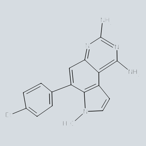 CCc1ccc(-c2cc3nc(N)nc(N)c3c3ccn(C)c23)cc1